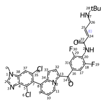 Cn1cnc2c(Cl)c(-c3cccn4c(C(=O)c5cc(F)c(NC(=O)/C=C/CNC(C)(C)C)c(F)c5)ccc34)c(Cl)cc21